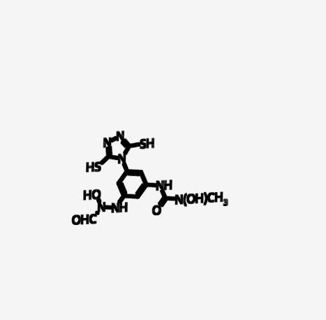 CN(O)C(=O)Nc1cc(NN(O)C=O)cc(-n2c(S)nnc2S)c1